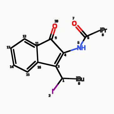 CCC(C)C(I)C1=C(NC(=O)C(C)C)C(=O)c2ccccc21